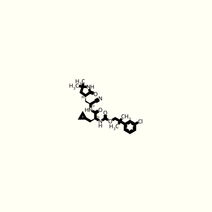 CC1(C)C[C@@H](C[C@@H](C#N)NC(=O)[C@H](CC2CC2)NC(=O)OCC(C)(C)c2cccc(Cl)c2)C(=O)N1